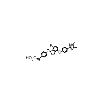 Cc1nc(-c2ccc(Oc3ccc(F)c4c3CCC4Oc3ccc(C4C[C@@H]4C(=O)O)cc3)cc2)nn1C